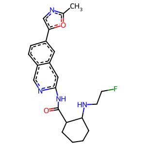 Cc1ncc(-c2ccc3cnc(NC(=O)C4CCCCC4NCCF)cc3c2)o1